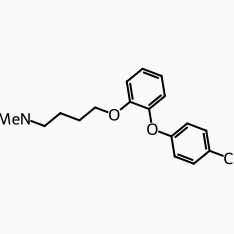 CNCCCCOc1ccccc1Oc1ccc(Cl)cc1